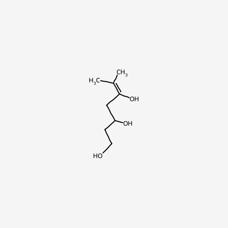 CC(C)=C(O)CC(O)CCO